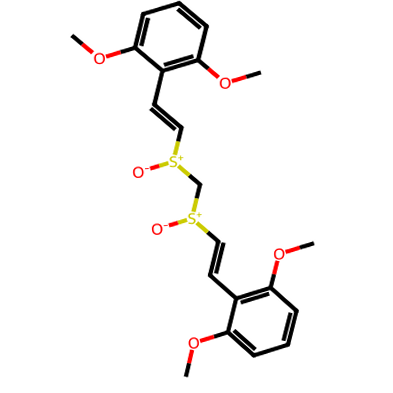 COc1cccc(OC)c1C=C[S+]([O-])C[S+]([O-])/C=C/c1c(OC)cccc1OC